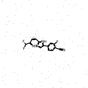 N#Cc1ccc(-c2cnc(/C=C\C(=N)C(F)F)[nH]2)cc1F